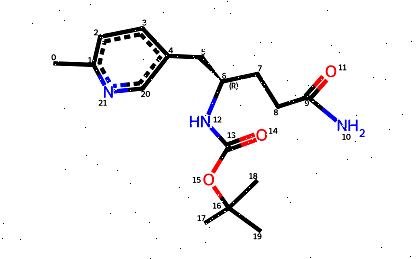 Cc1ccc(C[C@@H](CCC(N)=O)NC(=O)OC(C)(C)C)cn1